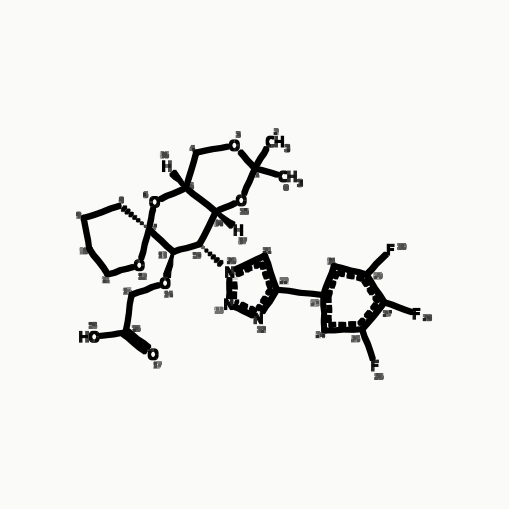 CC1(C)OC[C@H]2O[C@@]3(CCCCO3)[C@H](OCC(=O)O)[C@@H](n3cc(-c4cc(F)c(F)c(F)c4)nn3)[C@H]2O1